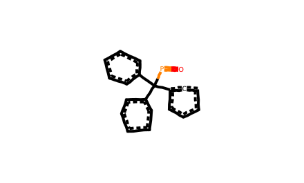 O=PC(c1ccccc1)(c1ccccc1)c1ccccc1